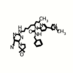 CCCC(CCCCNc1ncc(C#N)c(N2CCC3(COC3)C2)n1)N(C(=O)NCc1ccccc1)c1ccc(-c2cnn(C)c2)cn1